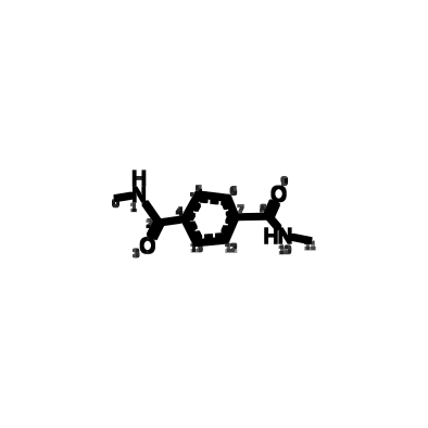 CNC(=O)c1[c]cc(C(=O)NC)cc1